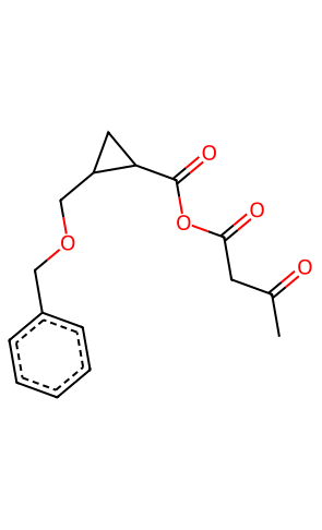 CC(=O)CC(=O)OC(=O)C1CC1COCc1ccccc1